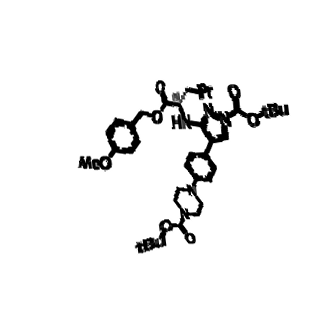 COc1ccc(COC(=O)[C@H](CC(C)C)Nc2nn(C(=O)OC(C)(C)C)cc2-c2ccc(N3CCN(C(=O)OC(C)(C)C)CC3)cc2)cc1